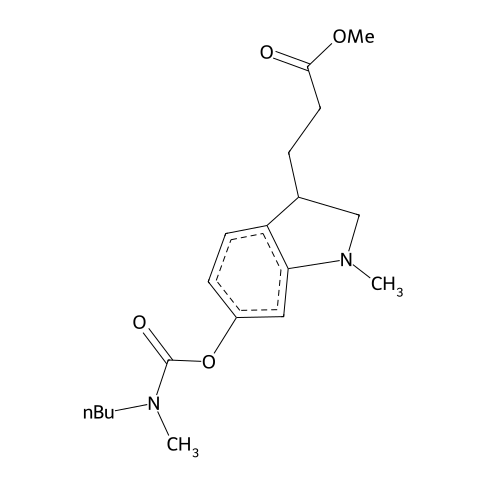 CCCCN(C)C(=O)Oc1ccc2c(c1)N(C)CC2CCC(=O)OC